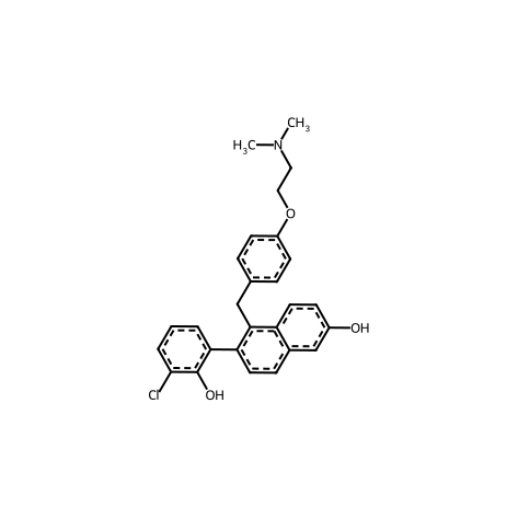 CN(C)CCOc1ccc(Cc2c(-c3cccc(Cl)c3O)ccc3cc(O)ccc23)cc1